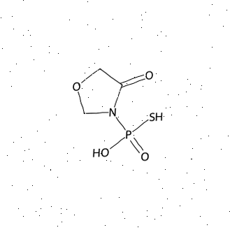 O=C1COCN1P(=O)(O)S